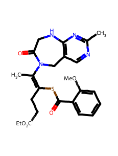 CCOC(=O)CC/C(SC(=O)c1ccccc1OC)=C(\C)N1Cc2cnc(C)nc2NCC1=O